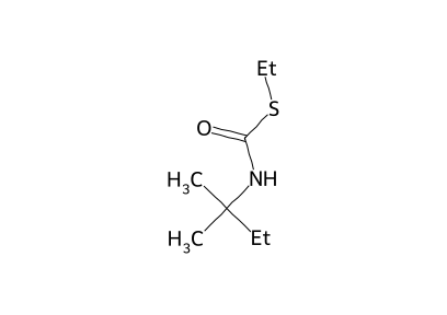 CCSC(=O)NC(C)(C)CC